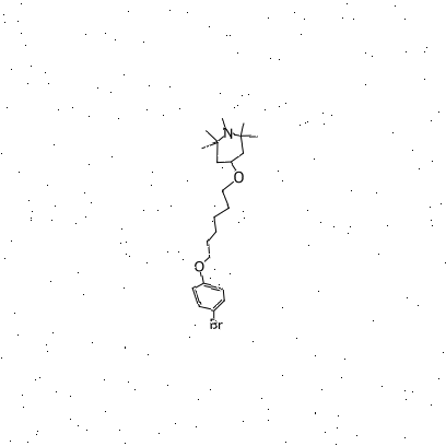 CN1C(C)(C)CC(OCCCCCCOc2ccc(Br)cc2)CC1(C)C